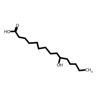 CCCCCC(O)CCCCCCCCC(=O)O